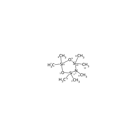 CN1[Si](C)(C)O[Si](C)(C)O[Si]1(C)C